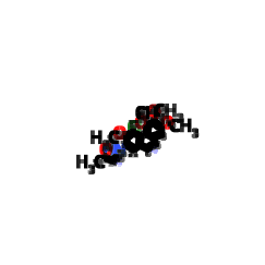 COc1cc(/C=C\c2cc(Cl)c(OC)c(N/C=C\C(C)=O)c2)cc(OC)c1OC